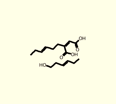 CCC=CCCC(=CC(=O)O)C(=O)O.CCC=CCCO